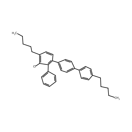 CCCCCc1ccc(-c2ccc(-c3ccc(CCCCC)c(Cl)c3-c3ccccc3)cc2)cc1